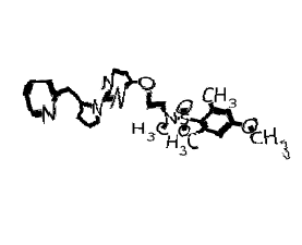 COc1cc(C)c(S(=O)(=O)N(C)CCOc2ccnc(N3CCCC3Cc3ccccn3)n2)c(C)c1